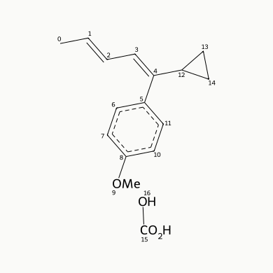 C/C=C/C=C(\c1ccc(OC)cc1)C1CC1.O=C(O)O